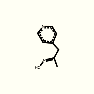 CC(Cc1ccncc1)=NO